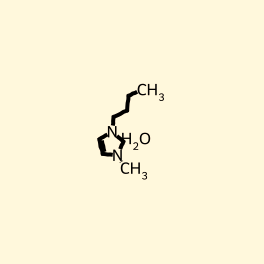 CCCCN1C=CN(C)C1.O